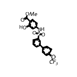 COC(=O)c1ccc(NS(=O)(=O)c2cccc(-c3ccc(OC(F)(F)F)cc3)c2)cc1O